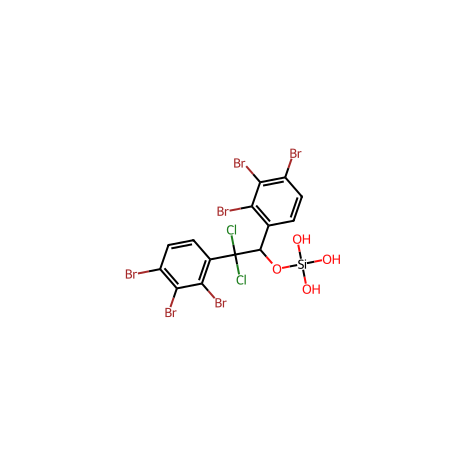 O[Si](O)(O)OC(c1ccc(Br)c(Br)c1Br)C(Cl)(Cl)c1ccc(Br)c(Br)c1Br